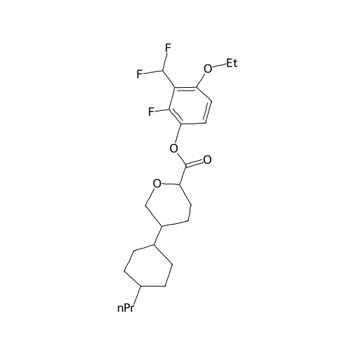 CCCC1CCC(C2CCC(C(=O)Oc3ccc(OCC)c(C(F)F)c3F)OC2)CC1